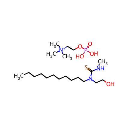 CCCCCCCCCCCN(CCO)C(=S)NC.C[N+](C)(C)CCOP(=O)(O)O